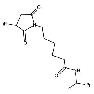 CC(C)C(C)NC(=O)CCCCCN1C(=O)CC(C(C)C)C1=O